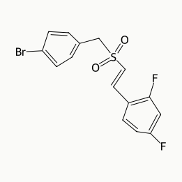 O=S(=O)(C=Cc1ccc(F)cc1F)Cc1ccc(Br)cc1